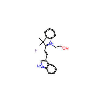 CC1(C)C(/C=C/c2c[nH]c3ccccc23)=[N+](CCO)c2ccccc21.[I-]